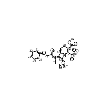 COP(=O)(OC)C1=C(C(=O)[O-])N2C(=O)C(NC(=O)COc3ccccc3)C2CC1.[Na+]